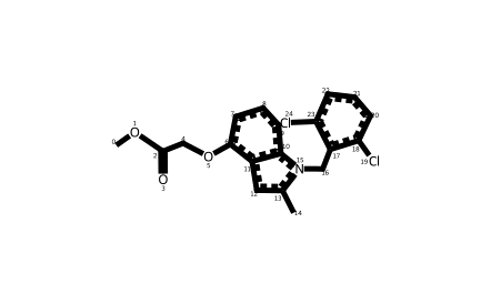 COC(=O)COc1cccc2c1cc(C)n2Cc1c(Cl)cccc1Cl